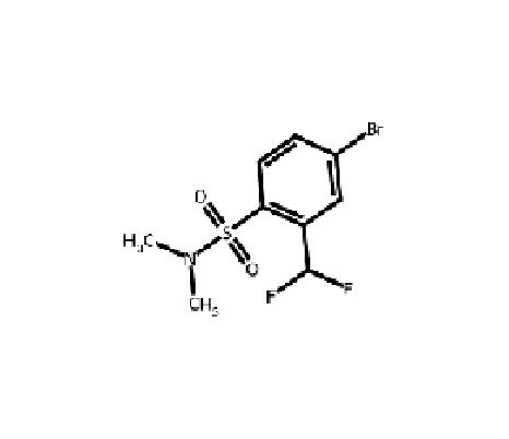 CN(C)S(=O)(=O)c1ccc(Br)cc1C(F)F